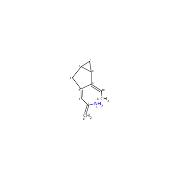 C=C(N)/C=C1/CC2CC2/C1=C/C